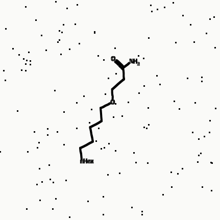 CCCCCCCCCCCOCCC(N)=O